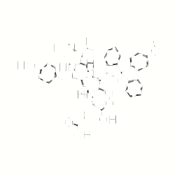 COc1ccc(C(SC[C@H](NC(=O)[C@H](Cc2ccc(O)cc2)NC(=O)[C@@H](N)C(C)C)C(=O)N[C@@H](CCC(=O)O)C(=O)O)(c2ccccc2)c2ccccc2)cc1